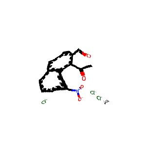 CC(=O)c1c(C=O)ccc2cccc([N+](=O)[O-])c12.[Cl-].[Cl-].[Cl-].[V+3]